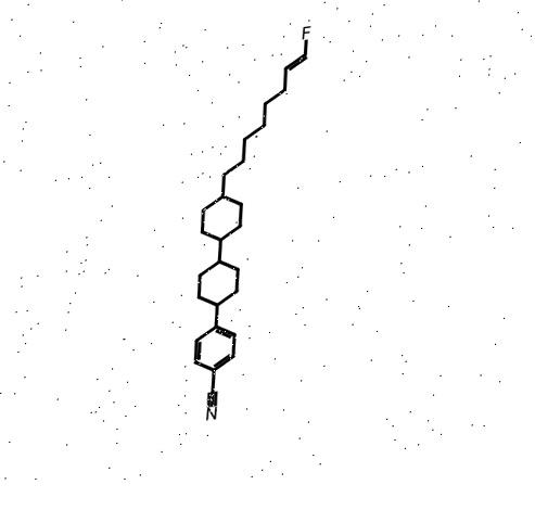 N#Cc1ccc(C2CCC(C3CCC(CCCCCC/C=C/F)CC3)CC2)cc1